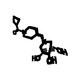 O=C(C1CCC1)N1CCC(CN2C[C@@H](O)C(O)[C@@H](O)C2)CC1